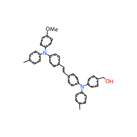 COc1ccc(N(c2ccc(C)cc2)c2ccc(C=Cc3ccc(N(c4ccc(C)cc4)c4ccc(CO)cc4)cc3)cc2)cc1